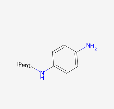 [CH2]CCC(C)Nc1ccc(N)cc1